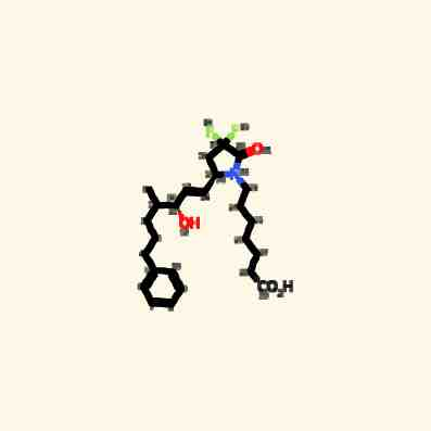 CC(CCCc1ccccc1)[C@@H](O)C=C[C@H]1CC(F)(F)C(=O)N1CCCCCCC(=O)O